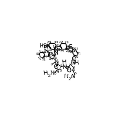 CN1C(=O)[C@H](CCCN)NC(=O)[C@H](CCCN)NCc2cccnc2Sc2c(F)ccc(-c3ccc(S)cc3)c2CNC(=O)[C@@H]1Cc1c[nH]c2ccccc12